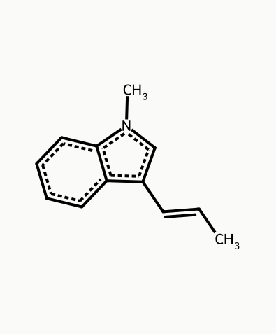 CC=Cc1cn(C)c2ccccc12